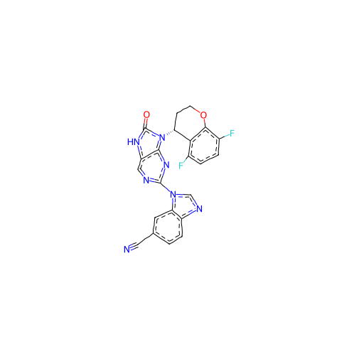 N#Cc1ccc2ncn(-c3ncc4[nH]c(=O)n([C@@H]5CCOc6c(F)ccc(F)c65)c4n3)c2c1